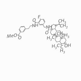 C=C(C)[C@@H]1CC[C@]2(C(=O)NCc3ccc(F)c(C(=O)NCCc4cccc(C(=O)OC)c4)c3)CC[C@]3(C)C(CCC4[C@@]5(C)CC[C@H](O)C(C)(C)C5CC[C@]43C)C12